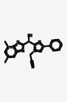 Cc1cc(C)n2nc(C(S)c3nc(-c4ccccc4)cn3CC#N)nc2c1